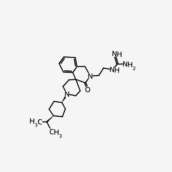 CC(C)[C@H]1CC[C@@H](N2CCC3(CC2)C(=O)N(CCNC(=N)N)Cc2ccccc23)CC1